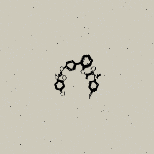 CC(Oc1ccccc1-c1ccc(Oc2nc3ccc(Cl)cc3o2)cc1)C(=O)N(C)c1ccc(F)cc1